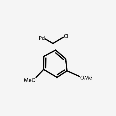 COc1[c]c(OC)ccc1.Cl[CH2][Pd]